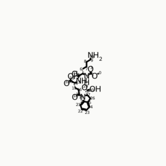 COC(=O)N[C@@H](CCCCN)C(=O)N[C@H](CCC(=O)N1c2ccccc2C[C@H]1C(=O)O)C(=O)O